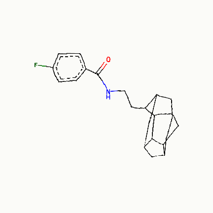 O=C(NCCC1C2C3CC4C5CC(C42)C1C53)c1ccc(F)cc1